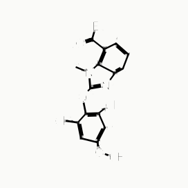 CCC(=O)c1cccc2nc(Oc3c(Cl)cc(OC(F)(F)F)cc3Cl)n(C)c12